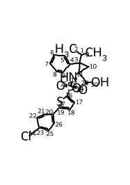 CC(C)C1(c2ccccc2)CC1(NS(=O)(=O)c1ccc(-c2ccc(Cl)cc2)s1)C(=O)O